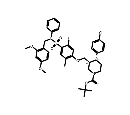 COc1ccc(CN(c2ccccn2)S(=O)(=O)c2cc(F)c(OC[C@@H]3CN(C(=O)OC(C)(C)C)CC[C@H]3c3ccc(Cl)cc3)cc2F)c(OC)c1